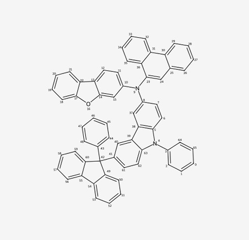 c1ccc(-n2c3ccc(N(c4ccc5c(c4)oc4ccccc45)c4cc5ccccc5c5ccccc45)cc3c3cc(C4(c5ccccc5)c5ccccc5-c5ccccc54)ccc32)cc1